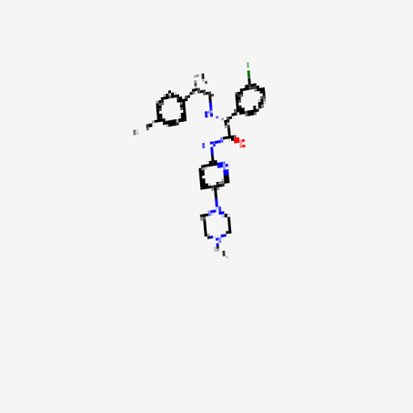 C[C@H](CN[C@@H](C(=O)Nc1ccc(N2CCN(C)CC2)cn1)c1cccc(F)c1)c1ccc(C#N)cc1